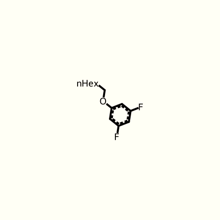 CCCCCCCOc1cc(F)cc(F)c1